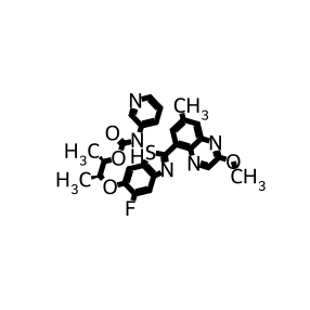 COc1cnc2c(-c3nc4cc(F)c(O[C@@H](C)[C@@H](C)OC(=O)Nc5cccnc5)cc4s3)cc(C)cc2n1